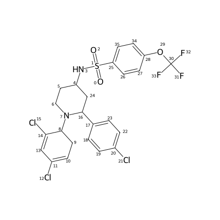 O=S(=O)(NC1CCN(C2CC=C(Cl)C=C2Cl)C(c2ccc(Cl)cc2)C1)c1ccc(OC(F)(F)F)cc1